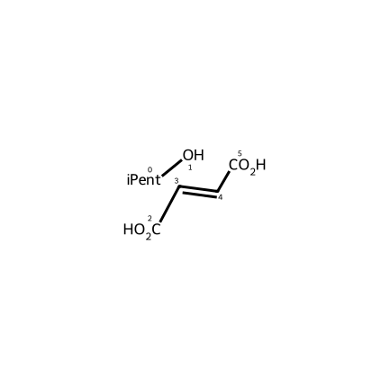 CCCC(C)O.O=C(O)C=CC(=O)O